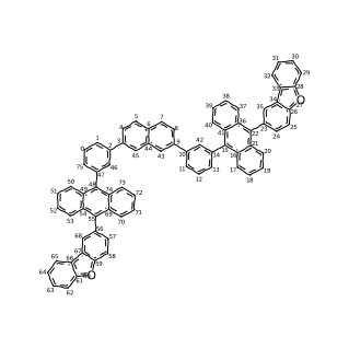 c1cc(-c2ccc3ccc(-c4cccc(-c5c6ccccc6c(-c6ccc7oc8ccccc8c7c6)c6ccccc56)c4)cc3c2)cc(-c2c3ccccc3c(-c3ccc4oc5ccccc5c4c3)c3ccccc23)c1